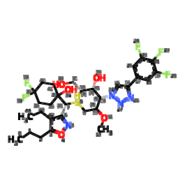 CCCc1onc([C@@H]([SH]2C[C@H](OC)[C@@H](n3cc(-c4cc(F)c(F)c(F)c4)nn3)[C@@H](O)[C@H]2CO)C2(O)CCC(F)(F)CC2)c1CC